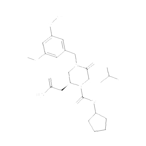 COc1cc(CN2C[C@H](CC(N)=O)N(C(=O)NC3CCCC3)[C@@H](CC(C)C)C2=O)cc(OC)c1